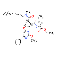 C=CCCCCN(C)C(=O)[C@@H]1C[C@H](Oc2cc(-c3ccccc3)nc(OC)n2)C[C@H]1C(=O)N[C@]1(C(=O)OCC)C[C@H]1C=C